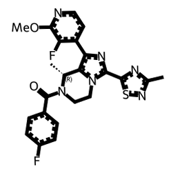 COc1nccc(-c2nc(-c3nc(C)ns3)n3c2[C@@H](C)N(C(=O)c2ccc(F)cc2)CC3)c1F